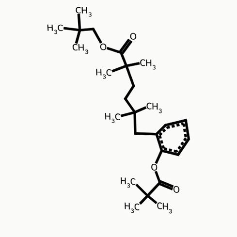 CC(C)(C)COC(=O)C(C)(C)CCC(C)(C)Cc1ccccc1OC(=O)C(C)(C)C